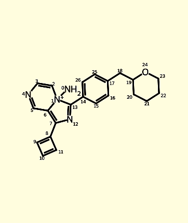 N[N+]12C=CN=CC1=C(C1=CC=C1)N=C2c1ccc(CC2CCCCO2)cc1